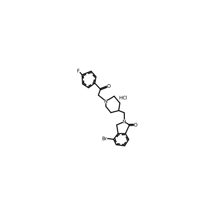 Cl.O=C(CN1CCC(CN2Cc3c(Br)cccc3C2=O)CC1)c1ccc(F)cc1